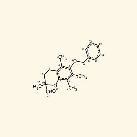 Cc1c(C)c2c(c(C)c1OCc1ccccc1)CCC(C)(C=O)O2